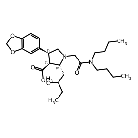 CCCCN(CCCC)C(=O)CN1C[C@H](c2ccc3c(c2)OCO3)[C@H](C(=O)O)[C@H]1CC(C)CC